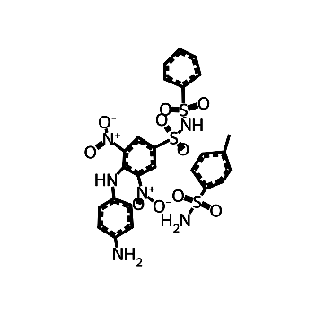 Cc1ccc(S(N)(=O)=O)cc1.Nc1ccc(Nc2c([N+](=O)[O-])cc(S(=O)(=O)NS(=O)(=O)c3ccccc3)cc2[N+](=O)[O-])cc1